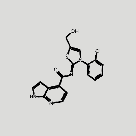 O=C(/N=c1\sc(CO)cn1-c1ccccc1Cl)c1ccnc2[nH]ccc12